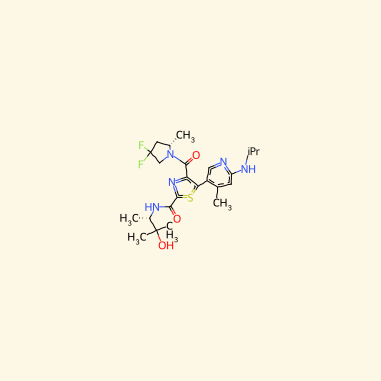 Cc1cc(NC(C)C)ncc1-c1sc(C(=O)N[C@@H](C)C(C)(C)O)nc1C(=O)N1CC(F)(F)C[C@@H]1C